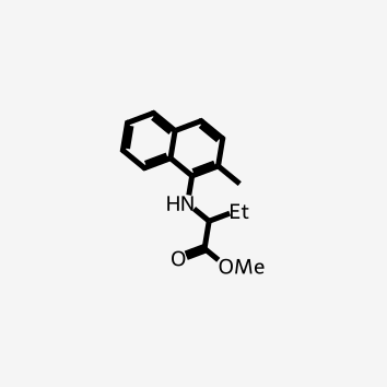 CCC(Nc1c(C)ccc2ccccc12)C(=O)OC